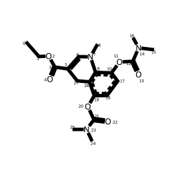 CCOC(=O)C1=CN(C)c2c(OC(=O)N(C)C)ccc(OC(=O)N(C)C)c2C1